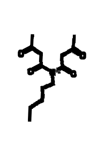 CCCCC[N+](C(=O)CC(C)=O)C(=O)CC(C)=O